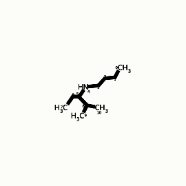 CCCCNC(CC)C(C)C